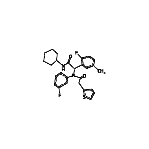 Cc1ccc(F)c(C(C(=O)NC2CCCCC2)N(C(=O)Cc2cccs2)c2cccc(F)c2)c1